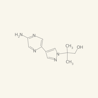 CC(C)(CO)n1cc(-c2cnc(N)cn2)cn1